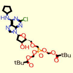 CC(C)(C)C(=O)OCOP(=O)(COC[C@H]1O[C@@H](n2cnc3c(NC4CCCC4)nc(Cl)nc32)C[C@@H]1O)OCOC(=O)C(C)(C)C